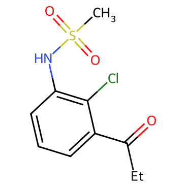 CCC(=O)c1cccc(NS(C)(=O)=O)c1Cl